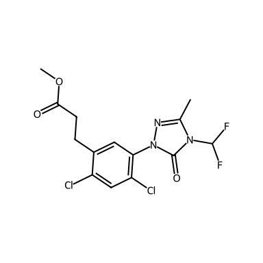 COC(=O)CCc1cc(-n2nc(C)n(C(F)F)c2=O)c(Cl)cc1Cl